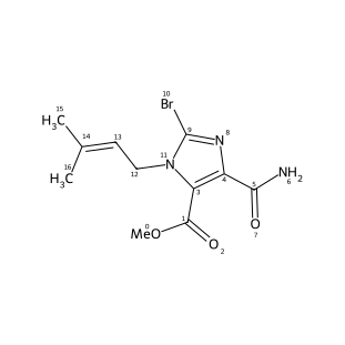 COC(=O)c1c(C(N)=O)nc(Br)n1CC=C(C)C